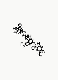 C#Cc1cc(C(=O)Nc2ccc(CNCCN3CC(=O)NC(=O)C3)c(C(F)(F)F)c2)ccc1C